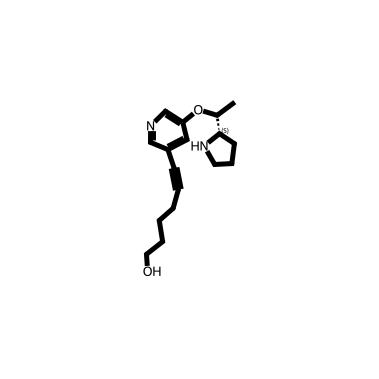 CC(Oc1cncc(C#CCCCCO)c1)[C@@H]1CCCN1